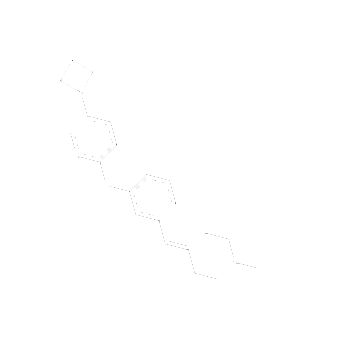 O=C(O)N1CCC(=Cc2cccc(Oc3ccc(N4CCC4)cn3)c2)CC1